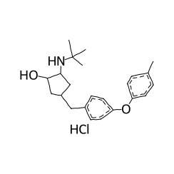 Cc1ccc(Oc2ccc(CC3CC(O)C(NC(C)(C)C)C3)cc2)cc1.Cl